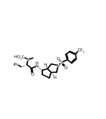 CC(C)C[C@@H](C(=O)N[C@H]1CC[C@@H]2CN(S(=O)(=O)c3ccc(C(F)(F)F)cc3)C[C@@H]21)N(C)C(=O)O